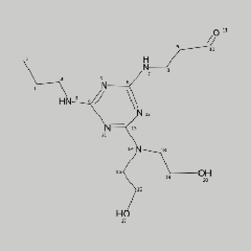 CCCNc1nc(NCCC=O)nc(N(CCO)CCO)n1